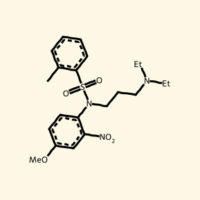 CCN(CC)CCCN(c1ccc(OC)cc1[N+](=O)[O-])S(=O)(=O)c1ccccc1C